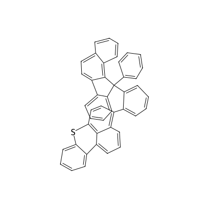 c1ccc(C2(c3ccccc3-c3ccc4c5c(cccc35)-c3ccccc3S4)c3ccccc3-c3ccc4ccccc4c32)cc1